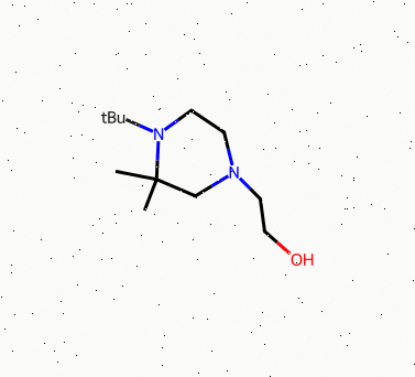 CC(C)(C)N1CCN(CCO)CC1(C)C